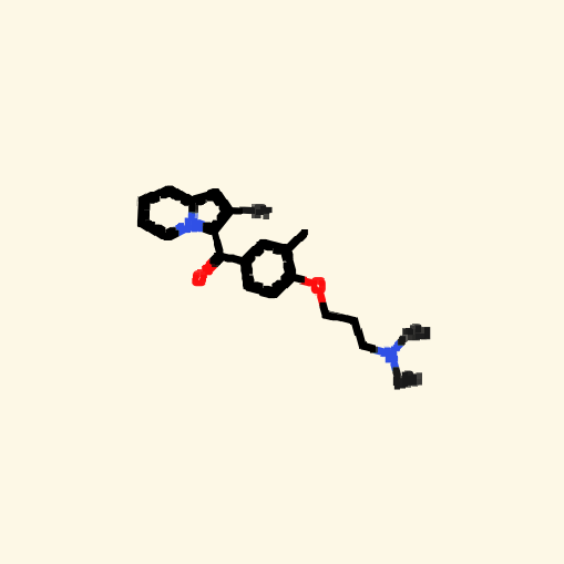 CCCCN(CCCC)CCCOc1ccc(C(=O)c2c(C(C)C)cc3ccccn23)cc1C